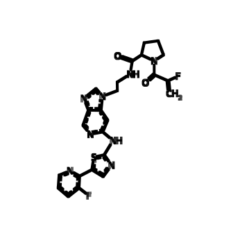 C=C(F)C(=O)N1CCCC1C(=O)NCCn1cnc2cnc(Nc3ncc(-c4ncccc4F)s3)cc21